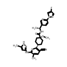 CO[C@]1(C(=O)N[C@@H](C)c2ccc(-n3cc(F)cn3)nc2)CC[C@H](c2nc(Nc3cc(C)[nH]n3)c(C)cc2C#N)CC1